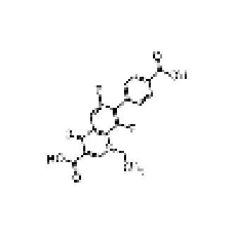 CCn1cc(C(=O)O)c(=O)c2cc(F)c(-c3ccc(C(=O)O)cc3)c(F)c21